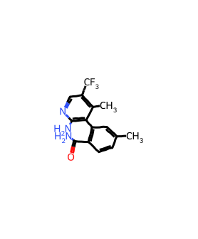 Cc1ccc(C(N)=O)c(-c2c(N)ncc(C(F)(F)F)c2C)c1